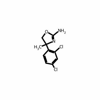 CC1(c2ccc(Cl)cc2Cl)COC(N)=N1